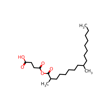 CCCCCCCCC(C)CCCCCCC(C)C(=O)OC(=O)CCC(=O)O